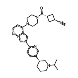 C#[N+][C@H]1C[C@H](C(=O)N2CCN(c3ccnn4cc(-c5ccc([C@@H]6CCCN(C(C)C)C6)cn5)cc34)CC2)C1